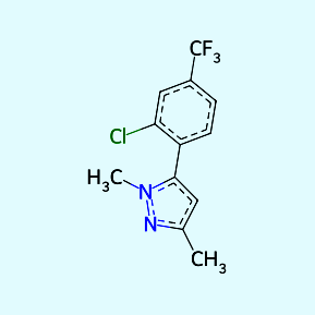 Cc1cc(-c2ccc(C(F)(F)F)cc2Cl)n(C)n1